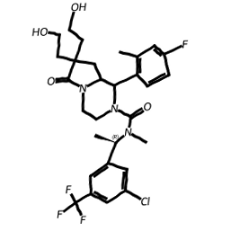 Cc1cc(F)ccc1C1C2CC(CCO)(CCO)C(=O)N2CCN1C(=O)N(C)[C@H](C)c1cc(Cl)cc(C(F)(F)F)c1